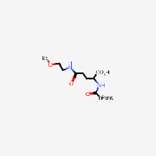 CCCCCC(=O)NC(CCC(=O)NCCOCC)C(=O)O